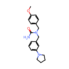 COc1ccc(CN(Cc2cccc(N3CCCC3)c2)C(N)=O)cc1